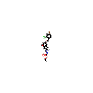 CCOC(=O)CN1CC2(Cc3ccc(OCc4ccc(Br)cc4Cl)cc3C2)C1.[Ar]